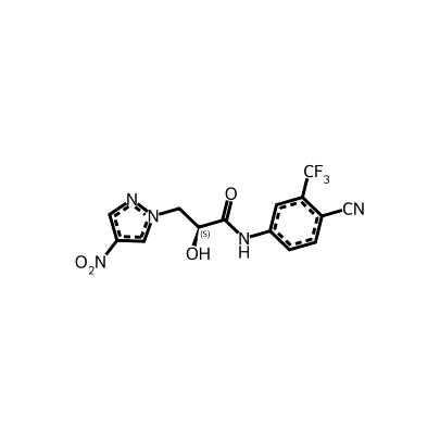 N#Cc1ccc(NC(=O)[C@@H](O)Cn2cc([N+](=O)[O-])cn2)cc1C(F)(F)F